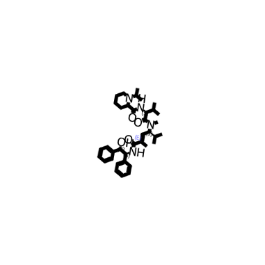 C/C(=C\[C@H](C(C)C)N(C)C(=O)[C@@H](NC(=O)C1CCCCN1C(C)C)C(C)C)C(=O)N[C@@H](c1ccccc1)[C@H](O)c1ccccc1